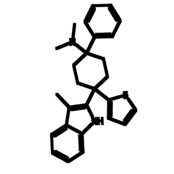 Cc1c(C2(c3cccs3)CCC(c3ccccc3)(N(C)C)CC2)[nH]c2ccccc12